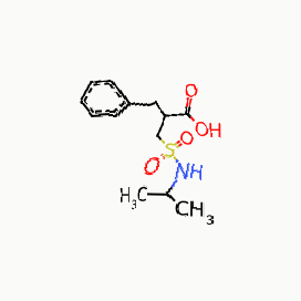 CC(C)NS(=O)(=O)CC(Cc1ccccc1)C(=O)O